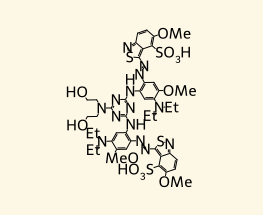 CCN(CC)c1cc(Nc2nc(Nc3cc(N(CC)CC)c(OC)cc3/N=N/c3snc4ccc(OC)c(S(=O)(=O)O)c34)nc(N(CCO)CCO)n2)c(/N=N/c2snc3ccc(OC)c(S(=O)(=O)O)c23)cc1OC